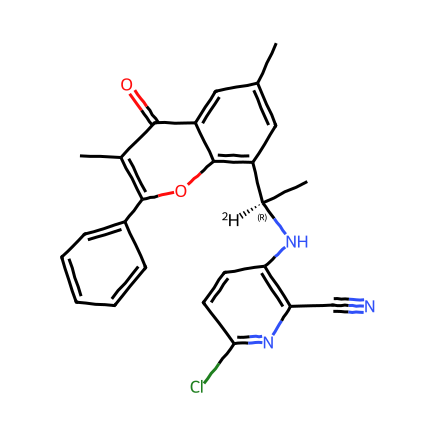 [2H][C@](C)(Nc1ccc(Cl)nc1C#N)c1cc(C)cc2c(=O)c(C)c(-c3ccccc3)oc12